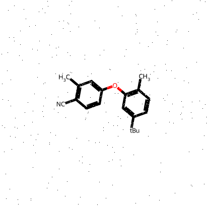 Cc1cc(Oc2cc(C(C)(C)C)ccc2C)ccc1C#N